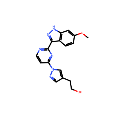 COc1ccc2c(-c3nccc(-n4cc(CCO)cn4)n3)n[nH]c2c1